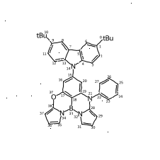 CC(C)(C)c1ccc2c(c1)c1cc(C(C)(C)C)ccc1n2-c1cc2c3c(c1)N(c1ccccc1)c1cccn1B3n1cccc1O2